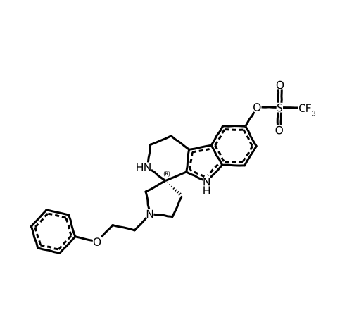 O=S(=O)(Oc1ccc2[nH]c3c(c2c1)CCN[C@@]31CCN(CCOc2ccccc2)C1)C(F)(F)F